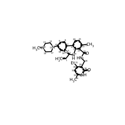 C=CC(=O)Nc1c(-c2ccc(N3CCN(C)CC3)cc2)ccc(C)c1C(=O)NCc1c(CC)cc(C)[nH]c1=O